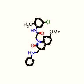 COc1ccc2cc(CNc3ccccc3)c(=O)n(CC(=O)Nc3cc(Cl)ccc3C)c2c1